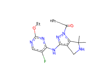 CCCC(=O)n1nc(Nc2nc(OCC)ncc2F)c2c1C(C)(C)NC2